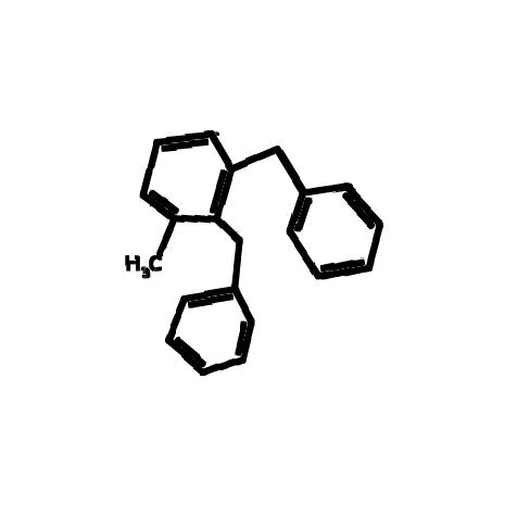 Cc1cc[c]c(Cc2ccccc2)c1Cc1ccccc1